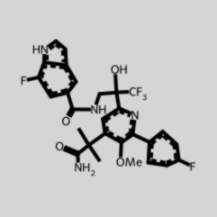 COc1c(C(C)(C)C(N)=O)cc(C(O)(CNC(=O)c2cc(F)c3[nH]ccc3c2)C(F)(F)F)nc1-c1ccc(F)cc1